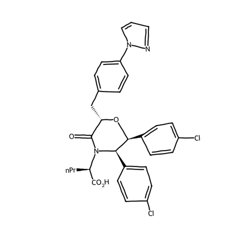 CCC[C@H](C(=O)O)N1C(=O)[C@H](Cc2ccc(-n3cccn3)cc2)O[C@@H](c2ccc(Cl)cc2)[C@H]1c1ccc(Cl)cc1